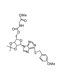 COC(=O)CNC(=O)OC[C@H]1O[C@@H](n2cnc3c(SCc4ccc(OC)cc4)ncnc32)C2OC(C)(C)OC21